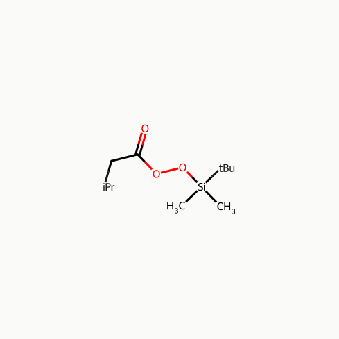 CC(C)CC(=O)OO[Si](C)(C)C(C)(C)C